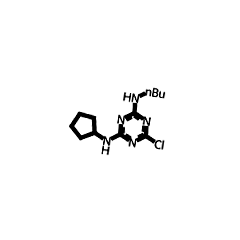 CCCCNc1nc(Cl)nc(NC2CCCC2)n1